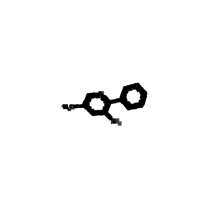 [CH2]c1cnc(-c2ccccc2)c(N)c1